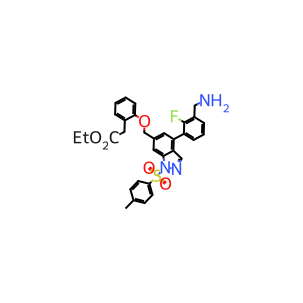 CCOC(=O)Cc1ccccc1OCc1cc(-c2cccc(CN)c2F)c2cnn(S(=O)(=O)c3ccc(C)cc3)c2c1